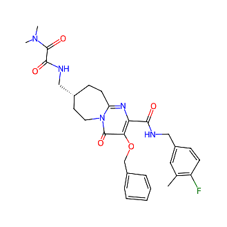 Cc1cc(CNC(=O)c2nc3n(c(=O)c2OCc2ccccc2)CC[C@H](CNC(=O)C(=O)N(C)C)CC3)ccc1F